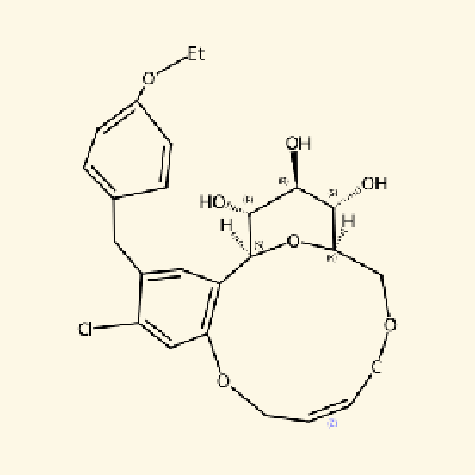 CCOc1ccc(Cc2cc3c(cc2Cl)OC/C=C\COC[C@H]2O[C@@H]3[C@H](O)[C@@H](O)[C@@H]2O)cc1